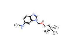 CNc1ccc2ncn(COCC[Si](C)(C)C)c2c1